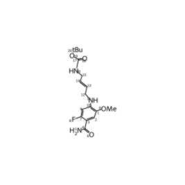 COc1cc(C(N)=O)c(F)cc1NC/C=C/CNC(=O)OC(C)(C)C